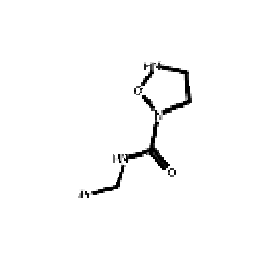 CC(C)CNC(=O)N1CCNO1